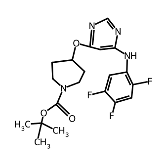 CC(C)(C)OC(=O)N1CCC(Oc2cc(Nc3cc(F)c(F)cc3F)ncn2)CC1